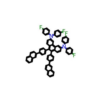 Fc1ccc(N(c2ccc(F)cc2)c2ccc3c(-c4ccc(-c5ccc6ccccc6c5)cc4)c(-c4ccc(-c5ccc6ccccc6c5)cc4)c4ccc(N(c5ccc(F)cc5)c5ccc(F)cc5)cc4c3c2)cc1